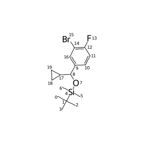 CC(C)(C)[Si](C)(C)OC(c1ccc(F)c(Br)c1)C1CC1